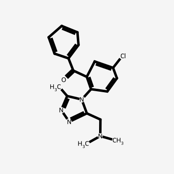 Cc1nnc(CN(C)C)n1-c1ccc(Cl)cc1C(=O)c1ccccc1